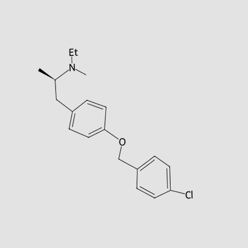 CCN(C)[C@H](C)Cc1ccc(OCc2ccc(Cl)cc2)cc1